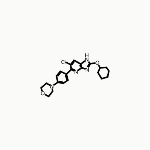 Clc1cc2[nH]c(OC3CCCCC3)nc2nc1-c1ccc(N2CCOCC2)cc1